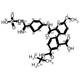 COc1ccc(-c2ccc(C(=O)NC(C)(C)C)cc2C(=O)O)c(C(=O)Nc2ccc(C(=N)N)cc2)n1.CS(=O)(=O)O